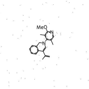 C=C(C)C1=CN(c2c(C)cnc(OC)c2C)Cc2ccccc21